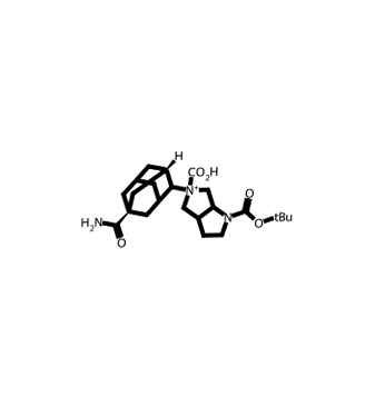 CC(C)(C)OC(=O)N1CCC2C[N+](C(=O)O)(C3C4CC5C[C@H]3C[C@@](C(N)=O)(C5)C4)CC21